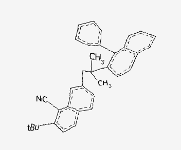 CC(C)(C)c1ccc2ccc(CC(C)(C)c3ccc4ccccc4c3-c3ccccc3)cc2c1C#N